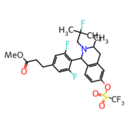 COC(=O)CCc1cc(F)c(C2c3ccc(OS(=O)(=O)C(F)(F)F)cc3CC(C)N2CC(C)(C)F)c(F)c1